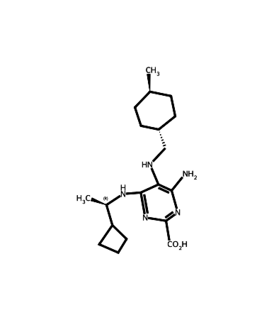 C[C@@H](Nc1nc(C(=O)O)nc(N)c1NC[C@H]1CC[C@H](C)CC1)C1CCC1